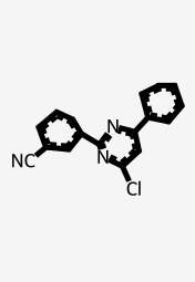 N#Cc1cccc(-c2nc(Cl)cc(-c3ccccc3)n2)c1